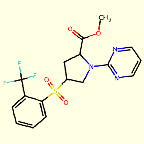 COC(=O)C1CC(S(=O)(=O)c2ccccc2C(F)(F)F)CN1c1ncccn1